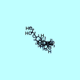 C[C@]12CCC(OCC(O)CO)CC1CC[C@@H]1[C@H]2CC[C@]2(C)C(O)(c3ccoc3)CC[C@@]12O